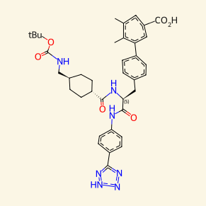 Cc1cc(C(=O)O)cc(-c2ccc(C[C@H](NC(=O)[C@H]3CC[C@H](CNC(=O)OC(C)(C)C)CC3)C(=O)Nc3ccc(-c4nn[nH]n4)cc3)cc2)c1C